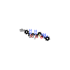 CC(C)(C)c1ccc(C(CC(=O)O)NC(=O)CCNC(=O)c2ccc(NC(=O)NCc3ccccc3)s2)cc1